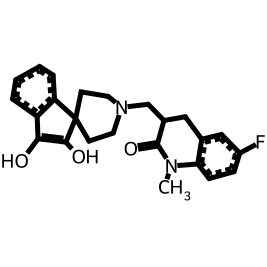 CN1C(=O)C(CN2CCC3(CC2)C(O)=C(O)c2ccccc23)Cc2cc(F)ccc21